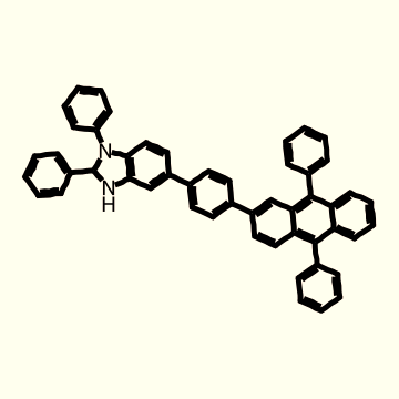 c1ccc(-c2c3ccccc3c(-c3ccccc3)c3cc(-c4ccc(-c5ccc6c(c5)NC(c5ccccc5)N6c5ccccc5)cc4)ccc23)cc1